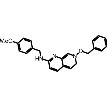 COc1ccc(CNc2ccc3c(n2)=CN(OCc2ccccc2)CC=3)cc1